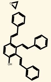 C1CO1.Oc1ccc(C=Cc2ccccc2)c(C=Cc2ccccc2)c1C=Cc1ccccc1